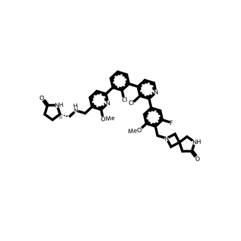 COc1cc(-c2nccc(-c3cccc(-c4ccc(CNC[C@@H]5CCC(=O)N5)c(OC)n4)c3Cl)c2Cl)cc(F)c1CN1CC2(CNC(=O)C2)C1